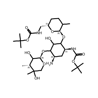 CC1CC[C@@H](CNC(=O)OC(C)(C)C)O[C@@H]1OC1C(O)C(O[C@H]2OCC(C)(O)[C@H](C)C2O)[C@H](N)C[C@@H]1NC(=O)OC(C)(C)C